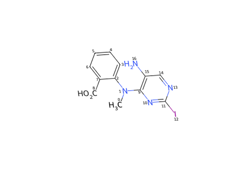 CN(c1ccccc1C(=O)O)c1nc(I)ncc1N